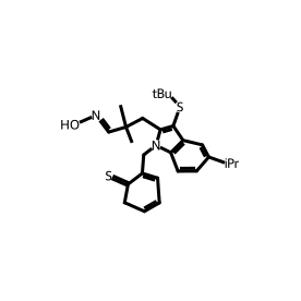 CC(C)c1ccc2c(c1)c(SC(C)(C)C)c(CC(C)(C)C=NO)n2CC1=CC=CCC1=S